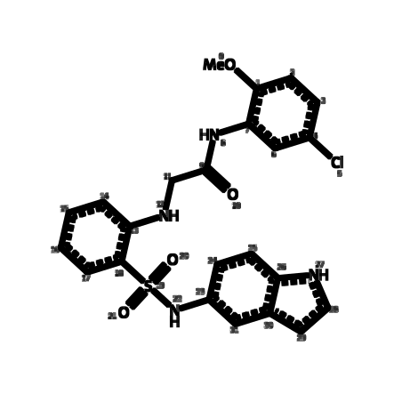 COc1ccc(Cl)cc1NC(=O)CNc1ccccc1S(=O)(=O)Nc1ccc2[nH]ccc2c1